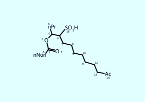 CCCCCCCCCC(=O)OC(CCC)C(CCCCCCCC(C)=O)S(=O)(=O)O